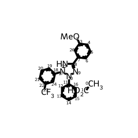 CC(=O)O.COc1cccc(C2=NN(c3ccccc3)N(c3cccc(C(F)(F)F)c3)N2)c1